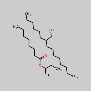 CCCCCCCC(=O)OC(C)CC.CCCCCCCCC(CO)CCCCCC